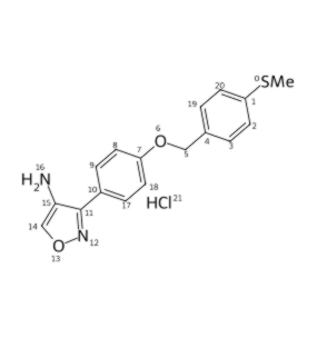 CSc1ccc(COc2ccc(-c3nocc3N)cc2)cc1.Cl